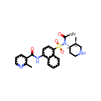 CCCC(=O)N([C@H]1CCNC[C@@H]1C)S(=O)(=O)c1ccc(NC(=O)c2cccnc2C)c2ccccc12